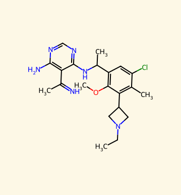 CCN1CC(c2c(C)c(Cl)cc(C(C)Nc3ncnc(N)c3C(C)=N)c2OC)C1